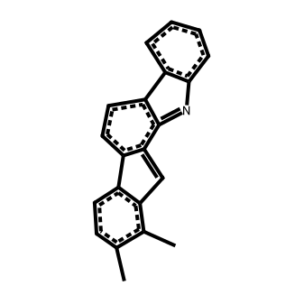 Cc1ccc2c(c1C)C=c1c-2ccc2c1=Nc1ccccc1-2